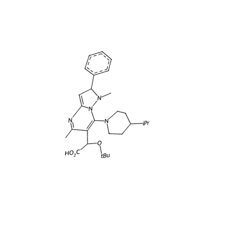 CC1=NC2=CC(c3ccccc3)N(C)N2C(N2CCC(C(C)C)CC2)=C1C(OC(C)(C)C)C(=O)O